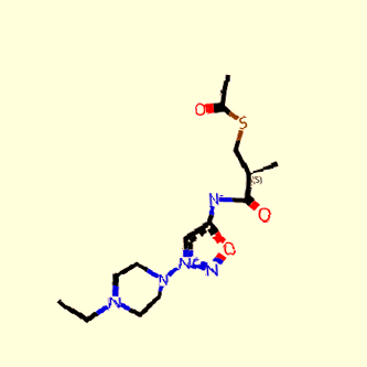 CCN1CCN([n+]2cc([N-]C(=O)[C@H](C)CSC(C)=O)on2)CC1